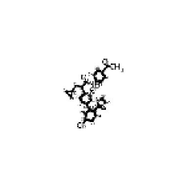 CC(=O)c1ccc(NC(=O)C(CC2CC2)c2ccc(-c3cc(Cl)ccc3-c3nccs3)c[n+]2[O-])cc1